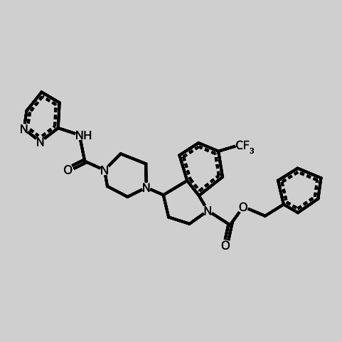 O=C(Nc1cccnn1)N1CCN(C2CCN(C(=O)OCc3ccccc3)c3cc(C(F)(F)F)ccc32)CC1